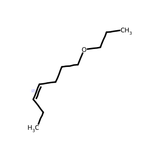 CC/C=C\CCCOCCC